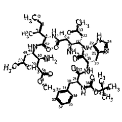 CC[C@H](C)[C@H](NC(=O)C[C@H](N)[C@H](CC(C)C)NC(=O)[C@H](Cc1c[nH]cn1)NC(=O)[C@H](Cc1ccccc1)NC(=O)OC(C)(C)C)C(=O)N[C@@H](CC(C)C)[C@@H](N)CC(=O)OC